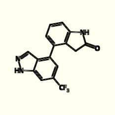 O=C1Cc2c(cccc2-c2cc(C(F)(F)F)cc3[nH]ncc23)N1